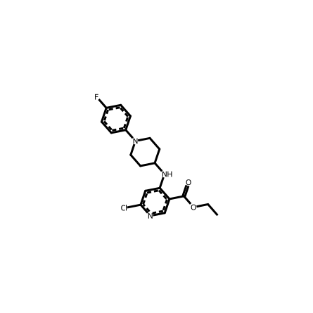 CCOC(=O)c1cnc(Cl)cc1NC1CCN(c2ccc(F)cc2)CC1